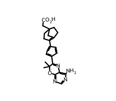 CC1(C)Oc2ncnc(N)c2N=C1c1ccc(C2=C3CCC(CC(=O)O)(CC2)C3)cc1